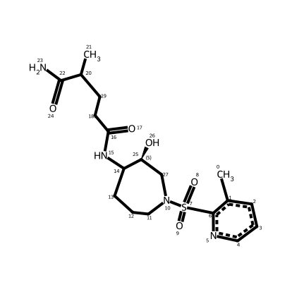 Cc1cccnc1S(=O)(=O)N1CCCC(NC(=O)[CH]CC(C)C(N)=O)[C@@H](O)C1